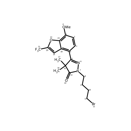 COc1ccc(C2=NN(CCCCBr)C(=O)C2(C)C)c2cc(C(F)(F)F)oc12